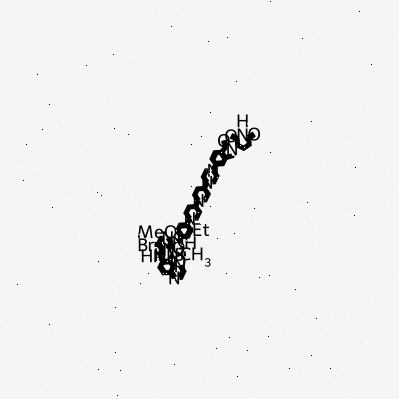 CCc1cc(Nc2ncc(Br)c(Nc3ccc4nccnc4c3NS(C)(=O)=O)n2)c(OC)cc1N1CCC(N2CCC(N3CCN(c4ccc5c(c4)CN(C4CCC(=O)NC4=O)C5=O)CC3)CC2)CC1